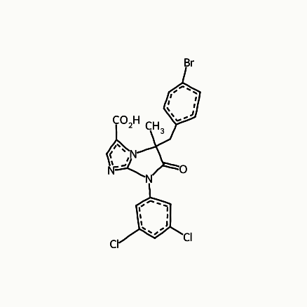 CC1(Cc2ccc(Br)cc2)C(=O)N(c2cc(Cl)cc(Cl)c2)c2ncc(C(=O)O)n21